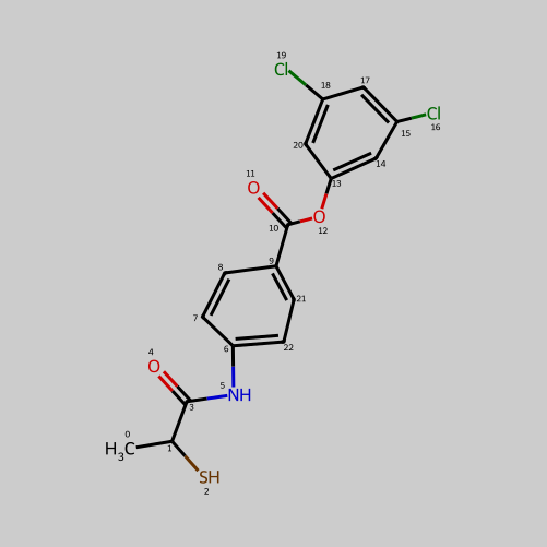 CC(S)C(=O)Nc1ccc(C(=O)Oc2cc(Cl)cc(Cl)c2)cc1